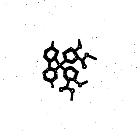 COC(=O)c1cc(C2(c3ccc(OC)c(C(=O)OC)c3)c3cc(C)ccc3-c3ccc(C)cc32)ccc1OC